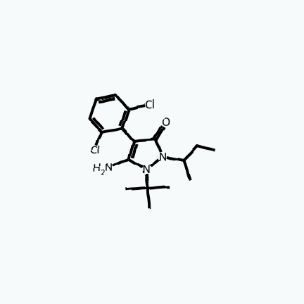 CCC(C)n1c(=O)c(-c2c(Cl)cccc2Cl)c(N)n1C(C)(C)C